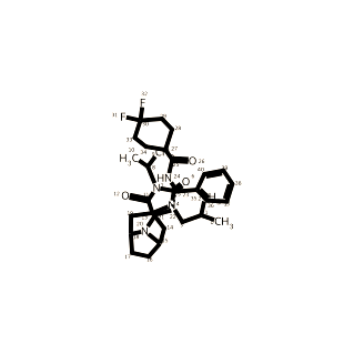 CC(C)CN1C(=O)N(C(C)C)C(=O)C12CC1CCC(C2)N1CC[C@H](NC(=O)C1CCC(F)(F)CC1)c1ccccc1